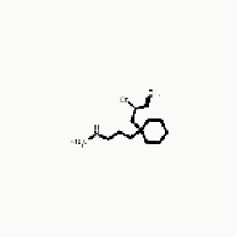 C=C[C@H](CC)CC1(CCCNC(=O)O)CCCCC1